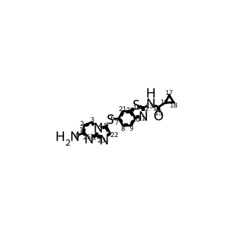 Nc1ccn2c(Sc3ccc4nc(NC(=O)C5CC5)sc4c3)cnc2n1